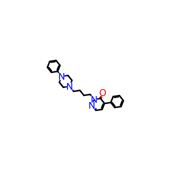 O=c1c(-c2ccccc2)ccnn1CCCCN1CCN(c2ccccc2)CC1